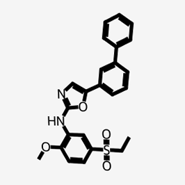 CCS(=O)(=O)c1ccc(OC)c(Nc2ncc(-c3cccc(-c4ccccc4)c3)o2)c1